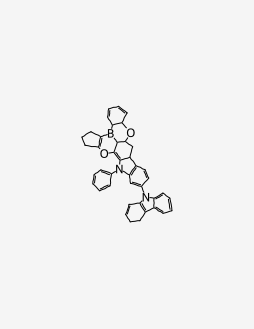 C1=CC2OC3CC4C(=C5OC6=C(CCC6)B(C2C=C1)C53)N(c1ccccc1)c1cc(-n2c3c(c5ccccc52)CCC=C3)ccc14